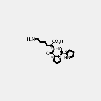 NCCCC[C@H](NC(=O)[C@@H]1CCCN1C(=O)[C@@H]1CCCN1)C(=O)O